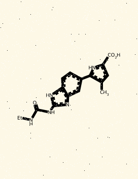 CCNC(=O)Nc1nc2cc(-c3[nH]c(C(=O)O)cc3C)ccc2[nH]1